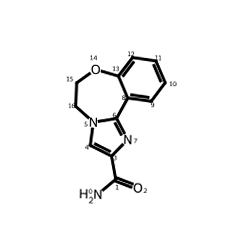 NC(=O)c1cn2c(n1)-c1ccccc1OCC2